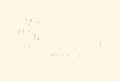 COc1ccc(CCC(Cl)(C(=O)O)C(=O)O)c2ccc(=O)n(C)c12